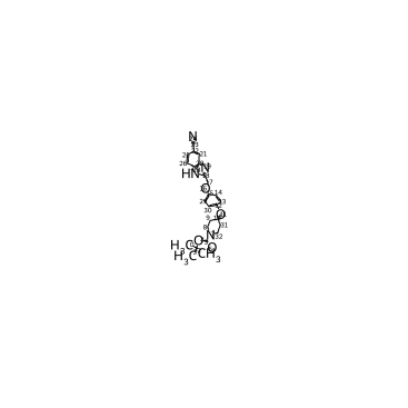 CC(C)(C)OC(=O)N1CCC(Oc2ccc(OCc3nc4cc(C#N)ccc4[nH]3)cc2)CC1